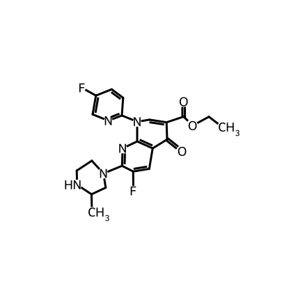 CCOC(=O)c1cn(-c2ccc(F)cn2)c2nc(N3CCNC(C)C3)c(F)cc2c1=O